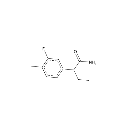 CCC(C(N)=O)c1ccc(C)c(F)c1